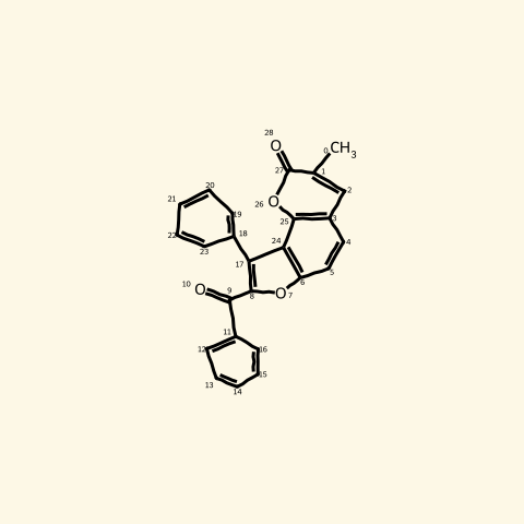 Cc1cc2ccc3oc(C(=O)c4ccccc4)c(-c4ccccc4)c3c2oc1=O